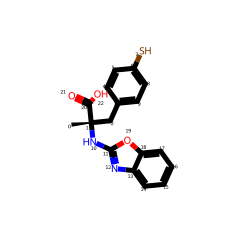 C[C@@](Cc1ccc(S)cc1)(Nc1nc2ccccc2o1)C(=O)O